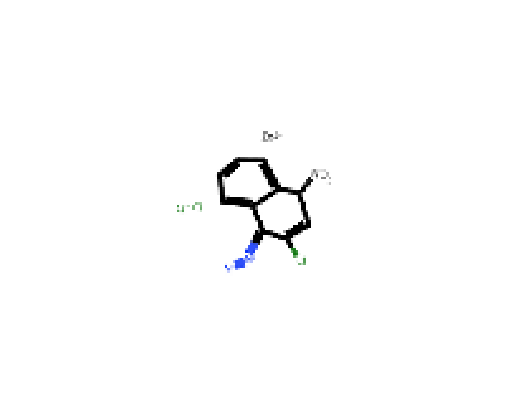 [Cl-].[Cl-].[N-]=[N+]=C1C(Cl)=CC([N+](=O)[O-])c2ccccc21.[Zn+2]